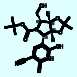 CC(C)(C)OC(=O)N1[C@H](CO)[C@H]2OC(C)(C)O[C@H]2[C@@H]1c1cc(C#N)c(=O)[nH]c1O